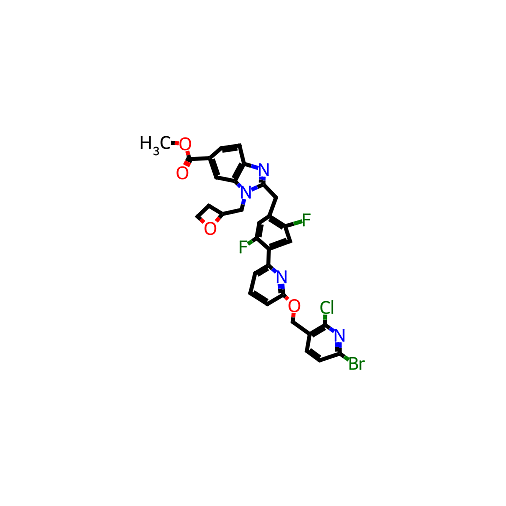 COC(=O)c1ccc2nc(Cc3cc(F)c(-c4cccc(OCc5ccc(Br)nc5Cl)n4)cc3F)n(CC3CCO3)c2c1